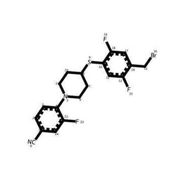 N#Cc1ccc(N2CCC(Sc3cc(F)c(CBr)cc3F)CC2)c(F)c1